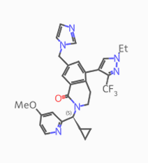 CCn1cc(-c2cc(Cn3ccnc3)cc3c2CCN([C@H](c2cc(OC)ccn2)C2CC2)C3=O)c(C(F)(F)F)n1